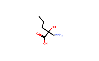 CCCC(O)(CN)C(=O)O